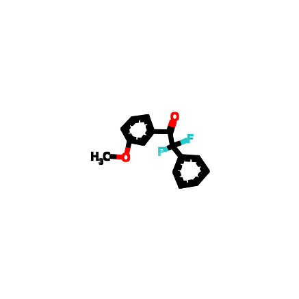 COc1cccc(C(=O)C(F)(F)c2ccccc2)c1